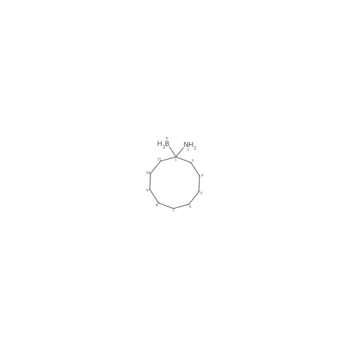 BC1(N)CCCCCCCCC1